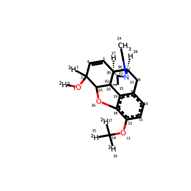 [2H]OC1([2H])C=C[C@H]2[C@H]3Cc4ccc(OC([2H])([2H])[2H])c5c4[C@@]2(CCN3C)C1O5